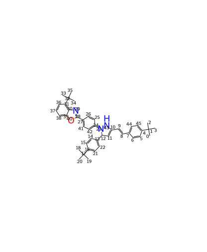 CC(C)(C)c1ccc(C=CC2=CC(c3ccc(C(C)(C)C)cc3)N(c3ccc(-c4nc5c(C(C)(C)C)cccc5o4)cc3)N2)cc1